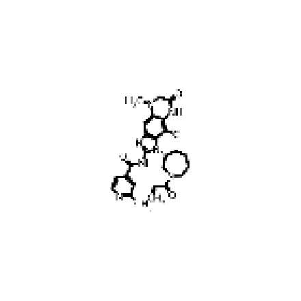 C=CC(=O)N1CCCC[C@@H](n2c(NC(=O)c3ccnc(C)c3)nc3cc4c(c(Cl)c32)NC(=O)CN4C)C1